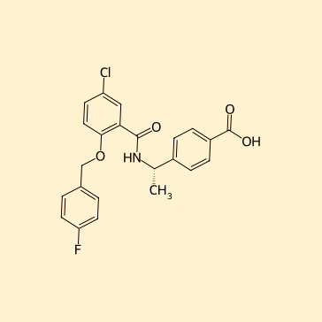 C[C@H](NC(=O)c1cc(Cl)ccc1OCc1ccc(F)cc1)c1ccc(C(=O)O)cc1